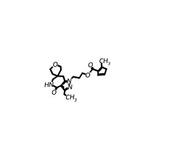 CCc1nn(CCCOC(=O)C2=C(C)CC=C2)c2c1C(=O)NCC1(CCOCC1)C2